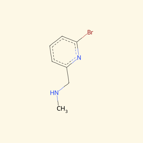 CNCc1cccc(Br)n1